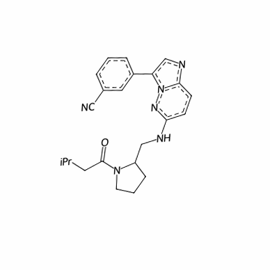 CC(C)CC(=O)N1CCCC1CNc1ccc2ncc(-c3cccc(C#N)c3)n2n1